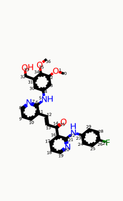 COc1cc(Nc2ncccc2/C=C/C(=O)c2cccnc2Nc2ccc(F)cc2)cc(CO)c1OC